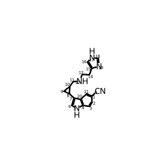 N#Cc1ccc2[nH]cc(C3CC3CNCCc3c[nH]cn3)c2c1